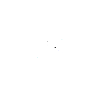 CC1CC(F)=C(N)C=C1SCC(F)(F)F